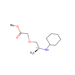 C[C@@H](COCC(=O)OC(C)(C)C)NC1CCCCC1